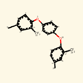 Cc1ccc(Oc2ccc(Oc3ccc(C)cc3C(F)(F)F)cc2)c(C(F)(F)F)c1